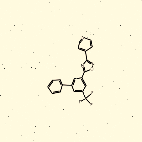 FC(F)(F)c1cc(-c2ccccc2)cc(-c2nc(-c3ccncc3)no2)c1